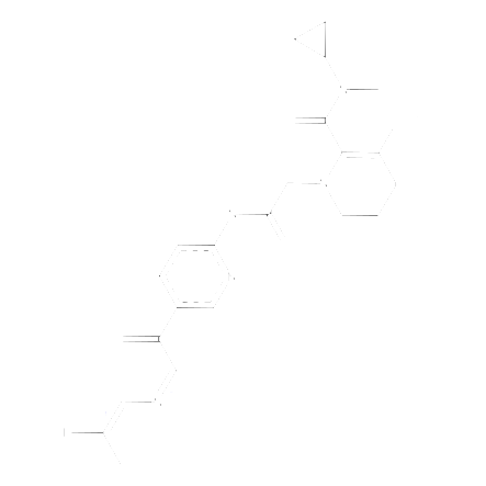 C=C(/C=N\C=C(/C)F)c1ccc(NC(=O)CN2CCCC(C=O)=C2C(=O)N(C)C2CC2)nc1